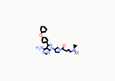 CCN(C/C=C/C(=O)N1CCC(n2nc(-c3ccc(Oc4ccccc4)cc3)c3c(N)ncnc32)C1)C1CC1